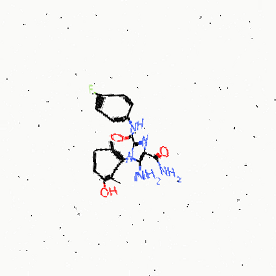 Cc1ccc(O)c(C)c1-n1c(C(=O)Nc2ccc(F)cc2)nc(C(N)=O)c1N